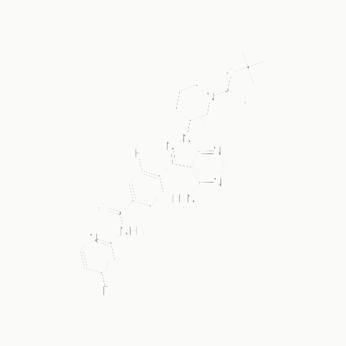 C[C@@H]1C(n2nc(-c3ccc(C(=O)Nc4cc(F)ccn4)cc3F)c3c(N)ncnc32)CCCN1C(=O)OC(C)(C)C